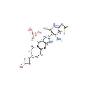 Nc1c(-c2nc3cc4c(cc3[nH]2)CCN(C2CC(O)C2)CC4)c(=O)[nH]c2ccsc12.[O-][Br+2]([O-])O